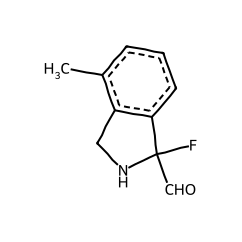 Cc1cccc2c1CNC2(F)C=O